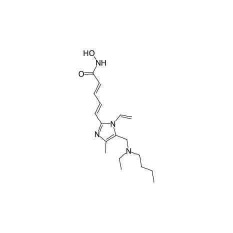 C=Cn1c(/C=C/C=C/C(=O)NO)nc(C)c1CN(CC)CCCC